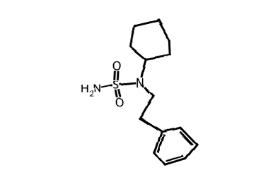 NS(=O)(=O)N(CCc1ccccc1)C1CCCCC1